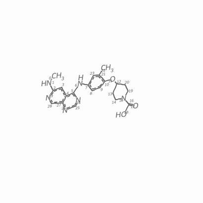 CNc1cc2c(Nc3ccc(OC4CCN(C(=O)O)CC4)c(C)c3)ncnc2cn1